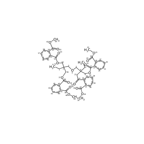 CCC(COCC(CC)(COC(=O)c1ccccc1C(=O)OC)CC(=O)c1ccccc1C(=O)OC)(COC(=O)c1ccccc1C(=O)OC)COC(=O)c1ccccc1C(=O)OC